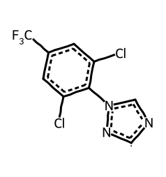 FC(F)(F)c1cc(Cl)c(-n2cn[c]n2)c(Cl)c1